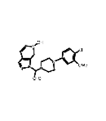 COc1cc(N2CCN(C(C=O)n3ncc4c3CN(O)C=C4)CC2)ccc1Cl